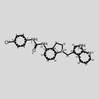 O=C(Nc1ccc(Cl)cc1)Nc1cccc2c1CCN2Cc1c[nH]c2ncccc12